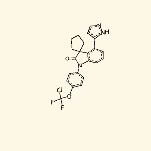 O=C1N(c2ccc(OC(F)(F)Cl)cc2)c2cccc(-c3ccn[nH]3)c2C12CCCC2